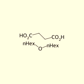 CCCCCCOCCCCCC.O=C(O)CCC(=O)O